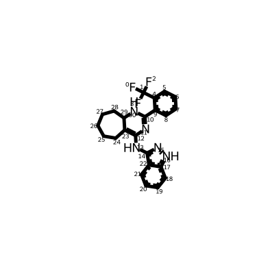 FC(F)(F)c1ccccc1C1=NC(Nc2n[nH]c3ccccc23)=C2CCCCCC2N1